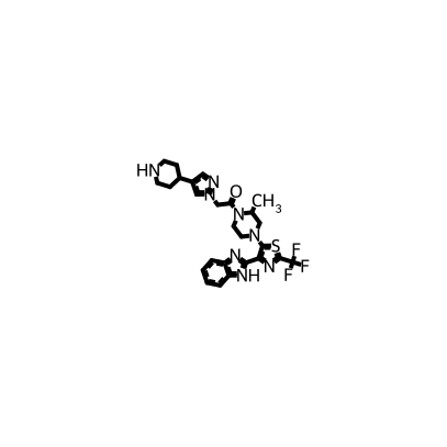 CC1CN(c2sc(C(F)(F)F)nc2-c2nc3ccccc3[nH]2)CCN1C(=O)Cn1cc(C2CCNCC2)cn1